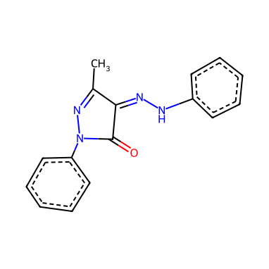 CC1=NN(c2ccccc2)C(=O)C1=NNc1ccccc1